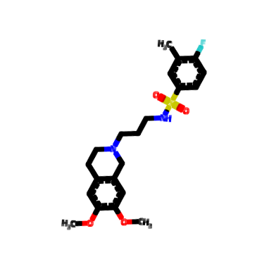 COc1cc2c(cc1OC)CN(CCCNS(=O)(=O)c1ccc(F)c(C)c1)CC2